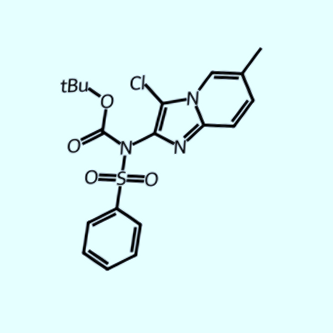 Cc1ccc2nc(N(C(=O)OC(C)(C)C)S(=O)(=O)c3ccccc3)c(Cl)n2c1